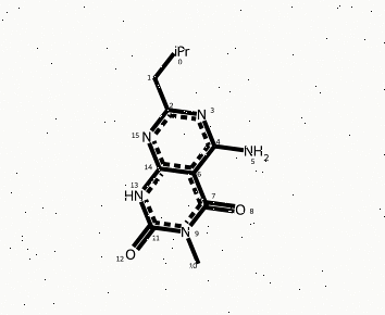 CC(C)Cc1nc(N)c2c(=O)n(C)c(=O)[nH]c2n1